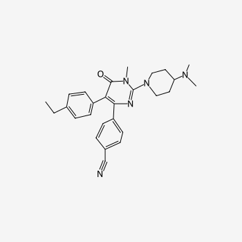 CCc1ccc(-c2c(-c3ccc(C#N)cc3)nc(N3CCC(N(C)C)CC3)n(C)c2=O)cc1